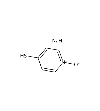 [NaH].[O-][n+]1ccc(S)cc1